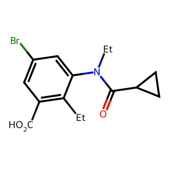 CCc1c(C(=O)O)cc(Br)cc1N(CC)C(=O)C1CC1